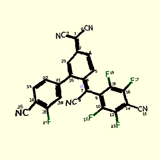 N#CC(C#N)=c1cc/c(=C(/C#N)c2c(F)c(F)c(C#N)c(F)c2F)c(-c2ccc(C#N)c(F)c2)c1